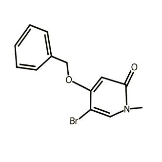 Cn1cc(Br)c(OCc2ccccc2)cc1=O